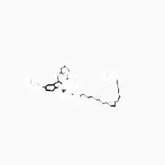 CCCCC/C=C\C/C=C\CCCCCCCC(=O)OCOC(=O)n1cc(C[C@H]2CCCN2C)c2cc(OC)ccc21